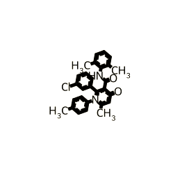 Cc1ccc(-n2c(C)cc(=O)c(C(=O)Nc3c(C)cccc3C)c2-c2cccc(Cl)c2)cc1